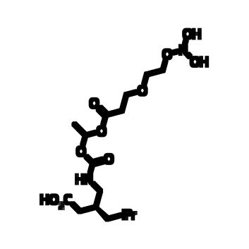 CC(C)C[C@H](CNC(=O)OC(C)OC(=O)CCOCCON(O)O)CC(=O)O